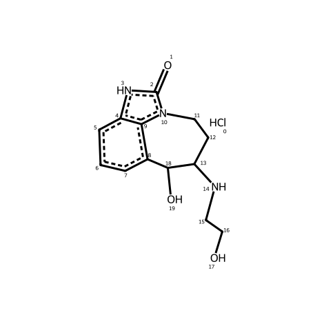 Cl.O=c1[nH]c2cccc3c2n1CCC(NCCO)C3O